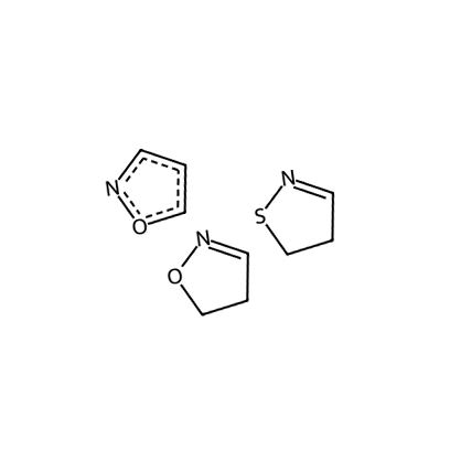 C1=NOCC1.C1=NSCC1.c1cnoc1